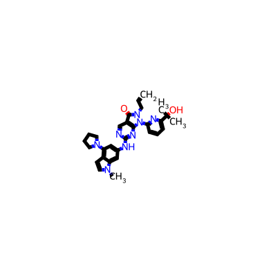 C=CCn1c(=O)c2cnc(Nc3cc(N4CCCC4)c4ccn(C)c4c3)nc2n1-c1cccc(C(C)(C)O)n1